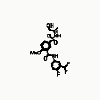 COc1ccc(S(=O)(=O)N[C@H](C)CO)cc1C(=O)Nc1ccc(F)c(C(F)F)c1